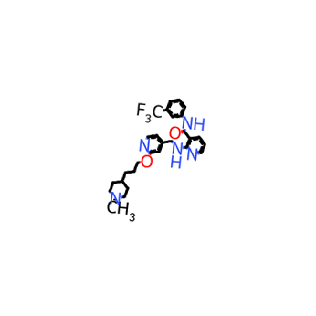 CN1CCC(CCCOc2cc(CNc3ncccc3C(=O)Nc3cccc(C(F)(F)F)c3)ccn2)CC1